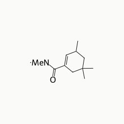 C[N]C(=O)C1=CC(C)CC(C)(C)C1